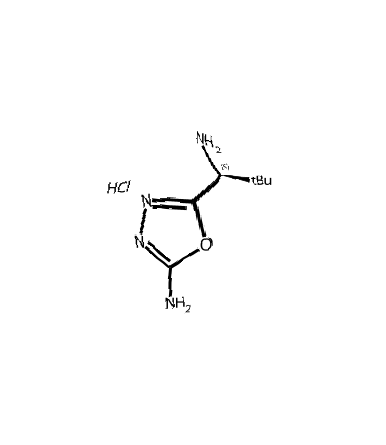 CC(C)(C)[C@H](N)c1nnc(N)o1.Cl